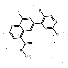 CNC(=O)c1ccnc2c(F)cc(-c3nc(Cl)ncc3F)cc12